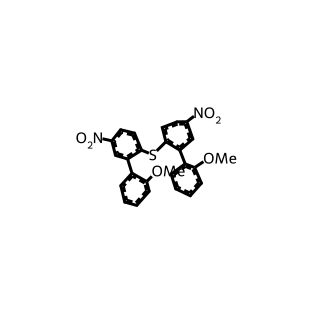 COc1ccccc1-c1cc([N+](=O)[O-])ccc1Sc1ccc([N+](=O)[O-])cc1-c1ccccc1OC